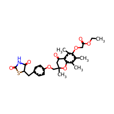 CCOC(=O)COc1c(C)c(C)c2c(c1C)C(=O)CC(C)(COc1ccc(CC3SC(=O)NC3=O)cc1)O2